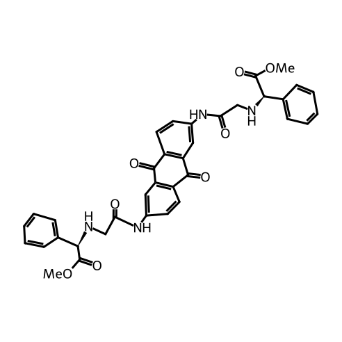 COC(=O)[C@H](NCC(=O)Nc1ccc2c(c1)C(=O)c1ccc(NC(=O)CN[C@@H](C(=O)OC)c3ccccc3)cc1C2=O)c1ccccc1